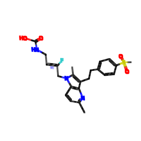 Cc1ccc2c(n1)c(CCc1ccc(S(C)(=O)=O)cc1)c(C)n2C/C(F)=C/CNC(=O)O